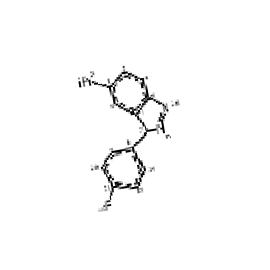 CC(C)c1ccc2c(c1)C(c1ccc(F)cc1)N=N2